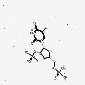 Cc1cn([C@@H]2O[C@H](COP(=O)(O)O)C[C@@H]2OP(C)(O)=S)c(=O)[nH]c1=O